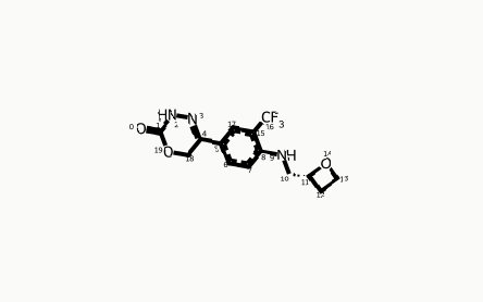 O=C1NN=C(c2ccc(NC[C@H]3CCO3)c(C(F)(F)F)c2)CO1